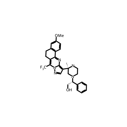 COc1ccc2c(c1)CCc1c-2nc2c([C@]3(C)CN([C@@H](CO)c4ccccc4)CC[N]3)cnn2c1C(F)(F)F